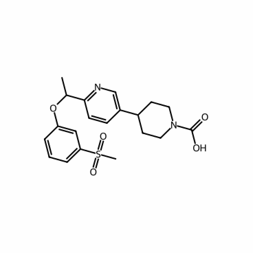 CC(Oc1cccc(S(C)(=O)=O)c1)c1ccc(C2CCN(C(=O)O)CC2)cn1